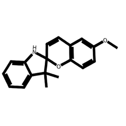 COc1ccc2c(c1)C=CC1(Nc3ccccc3C1(C)C)O2